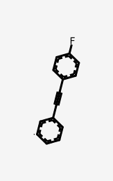 Fc1ccc(C#Cc2c[c]ccc2)cc1